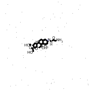 C#C[C@@H]1CC2[C@@H]3CCC4=C/C(=N/NC(=O)CN)C=C[C@]4(C)C3[C@@H](O)C[C@@]23O[C@]13C(=O)CO